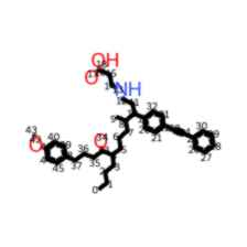 CCCCC(CCCC(C)C(CCNCCC(=O)O)c1ccc(C#Cc2ccccc2)cc1)C(=O)CCCc1ccc(OC)cc1